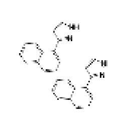 c1ccc2c(-c3cc[nH]n3)cccc2c1.c1ccc2c(-c3cc[nH]n3)cccc2c1